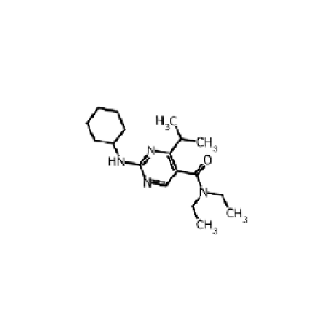 CCN(CC)C(=O)c1cnc(NC2CCCCC2)nc1C(C)C